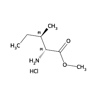 CC[C@@H](C)[C@@H](N)C(=O)OC.Cl